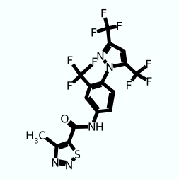 Cc1nnsc1C(=O)Nc1ccc(-n2nc(C(F)(F)F)cc2C(F)(F)F)c(C(F)(F)F)c1